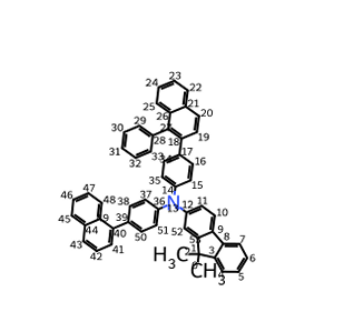 CC1(C)c2ccccc2-c2ccc(N(c3ccc(-c4ccc5ccccc5c4-c4ccccc4)cc3)c3ccc(-c4cccc5ccccc45)cc3)cc21